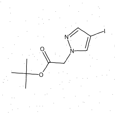 CC(C)(C)OC(=O)Cn1cc(I)cn1